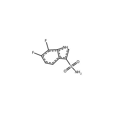 NS(=O)(=O)c1c[nH]c2c(F)c(F)ccc12